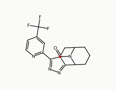 O=CN1C2CCCC1c1nnc(-c3cc(C(F)(F)F)ccn3)n1C2